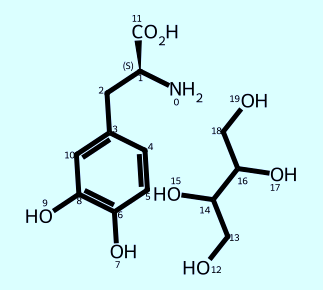 N[C@@H](Cc1ccc(O)c(O)c1)C(=O)O.OCC(O)C(O)CO